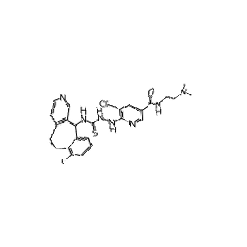 CN(C)CCNC(=O)c1cnc(NNC(=S)NC2c3cnccc3CCc3c(F)cccc32)c(Cl)c1